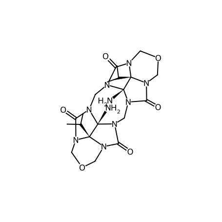 CC(C)[C@]12N3COCN1C(=O)N1CN4C(=O)N5COCN6C(=O)N(CN(C3=O)[C@]12N)[C@]4(N)[C@@]56C(C)C